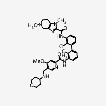 COc1cc(C(=O)Nc2cccc(-c3cccc(NC(=O)c4nc5c(n4C)CCN(C)C5)c3Cl)c2C)ncc1CNC1CCOCC1